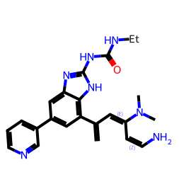 C=C(/C=C(\C=C/N)N(C)C)c1cc(-c2cccnc2)cc2nc(NC(=O)NCC)[nH]c12